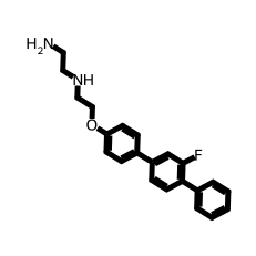 NCCNCCOc1ccc(-c2ccc(-c3ccccc3)c(F)c2)cc1